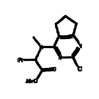 COC(=O)C(C(C)C)N(C)c1nc(Cl)nc2c1CCC2